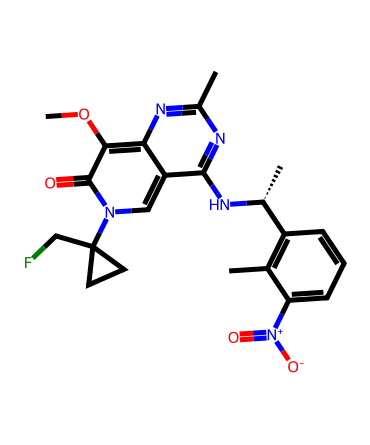 COc1c(=O)n(C2(CF)CC2)cc2c(N[C@H](C)c3cccc([N+](=O)[O-])c3C)nc(C)nc12